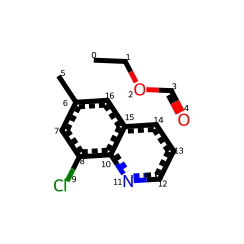 CCOC=O.Cc1cc(Cl)c2ncccc2c1